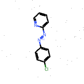 Clc1ccc(/N=N/c2ccccn2)cc1